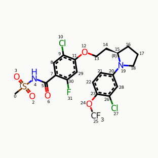 CS(=O)(=O)NC(=O)c1cc(Cl)c(OCC[C@H]2CCCN2c2ccc(OC(F)(F)F)c(Cl)c2)cc1F